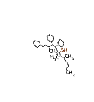 C=C\C=C/C=C(C)/C(C)=C(S)/C=C(\c1ccccc1)C(/C(C)=C/C=C1/C=CC=CC1)c1ccccc1